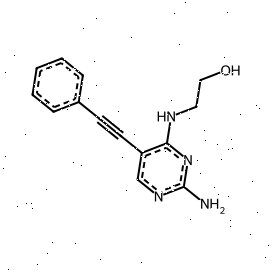 Nc1ncc(C#Cc2ccccc2)c(NCCO)n1